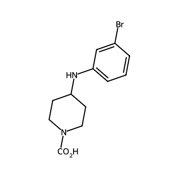 O=C(O)N1CCC(Nc2cccc(Br)c2)CC1